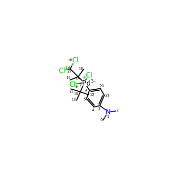 CN(C)c1cc[c]([Pd-3]([Cl])([Cl])([C](C)(C)C)[C](C)(C)C(Cl)Cl)cc1